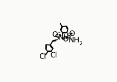 Cc1ccc(S(N)(=O)=O)c(N[S+]([O-])/C=C/c2ccc(Cl)c(Cl)c2)c1